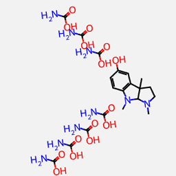 CN1CCC2(C)c3cc(O)ccc3N(C)C12.NC(=O)O.NC(=O)O.NC(=O)O.NC(=O)O.NC(=O)O.NC(=O)O.NC(=O)O